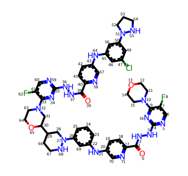 O=C(NNc1ncc(F)c(N2CCOCC2)n1)c1ccc(Nc2cccc(N3CC(C4CN(c5nc(NNC(=O)c6ccc(Nc7cc(Cl)cc(N8CCCN8)c7)cn6)ncc5F)CCO4)CCN3)c2)cn1